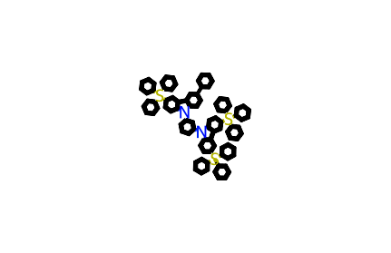 c1ccc(-c2ccc3c(c2)c2cc(S(c4ccccc4)(c4ccccc4)c4ccccc4)ccc2n3-c2cccc(-n3c4ccc(S(c5ccccc5)(c5ccccc5)c5ccccc5)cc4c4cc(S(c5ccccc5)(c5ccccc5)c5ccccc5)ccc43)c2)cc1